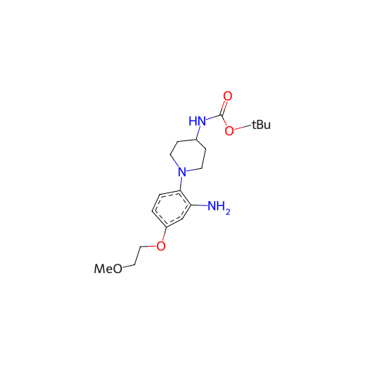 COCCOc1ccc(N2CCC(NC(=O)OC(C)(C)C)CC2)c(N)c1